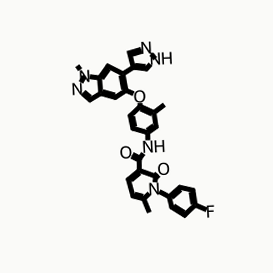 Cc1cc(NC(=O)c2ccc(C)n(-c3ccc(F)cc3)c2=O)ccc1Oc1cc2cnn(C)c2cc1-c1cn[nH]c1